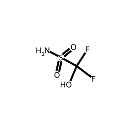 NS(=O)(=O)C(O)(F)F